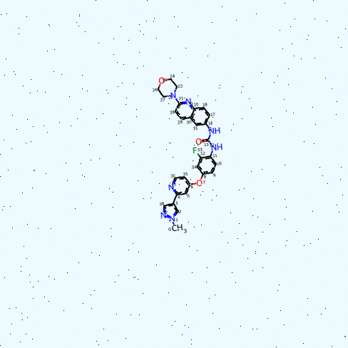 Cn1cc(-c2cc(Oc3ccc(NC(=O)Nc4ccc5nc(N6CCOCC6)ccc5c4)c(F)c3)ccn2)cn1